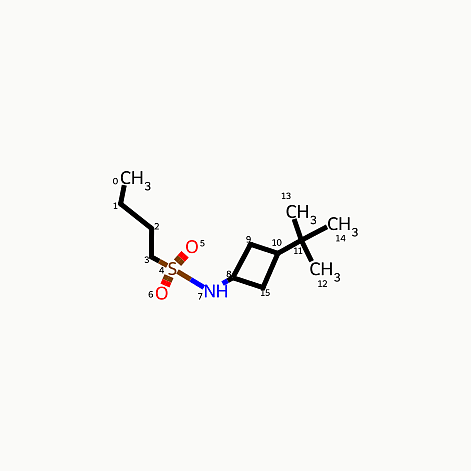 CCCCS(=O)(=O)NC1CC(C(C)(C)C)C1